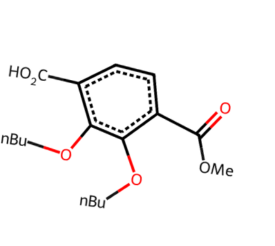 CCCCOc1c(C(=O)O)ccc(C(=O)OC)c1OCCCC